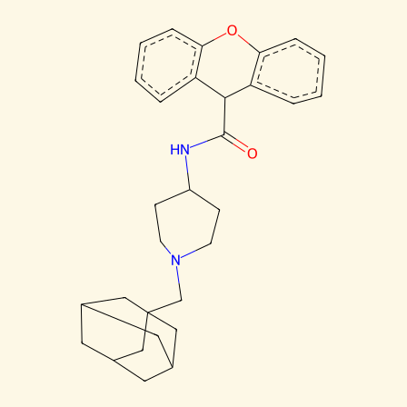 O=C(NC1CCN(CC23CC4CC(CC(C4)C2)C3)CC1)C1c2ccccc2Oc2ccccc21